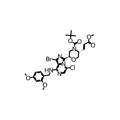 COC(=O)/C=C/[C@@H]1CO[C@@H](c2nc(Br)c3c(NCc4ccc(OC)cc4OC)ncc(Cl)n23)CN1C(=O)OC(C)(C)C